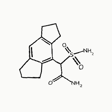 NC(=O)C(c1c2c(cc3c1CCC3)CCC2)S(N)(=O)=O